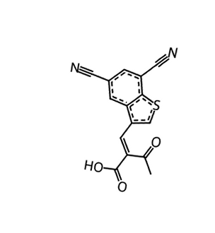 CC(=O)/C(=C\c1csc2c(C#N)cc(C#N)cc12)C(=O)O